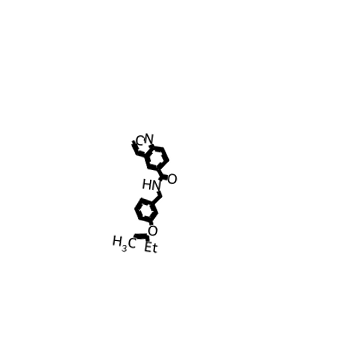 CC=C(CC)Oc1cccc(CNC(=O)c2ccc3ncccc3c2)c1